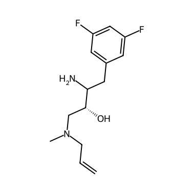 C=CCN(C)C[C@@H](O)C(N)Cc1cc(F)cc(F)c1